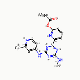 CNC(=O)Oc1cccc(-c2nc(Nc3ccnc(C(F)(F)F)c3)nc(NC(C)C)n2)n1